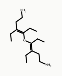 CCC(CCN)=C(CC)OC(CC)=C(CC)CCN